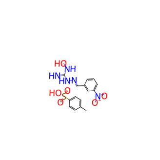 Cc1ccc(S(=O)(=O)O)cc1.N=C(NO)NN=Cc1cccc([N+](=O)[O-])c1